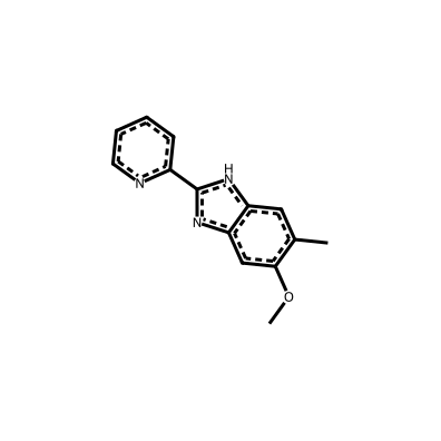 COc1cc2nc(-c3ccccn3)[nH]c2cc1C